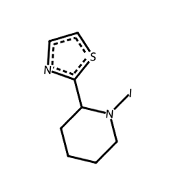 IN1CCCCC1c1nccs1